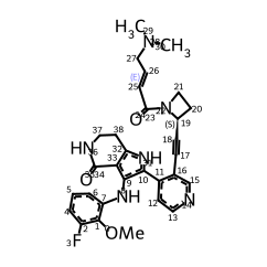 COc1c(F)cccc1Nc1c(-c2ccncc2C#C[C@@H]2CCN2C(=O)/C=C/CN(C)C)[nH]c2c1C(=O)NCC2